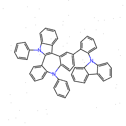 c1ccc(N2c3ccc(-c4ccccc4-n4c5ccccc5c5ccccc54)cc3-c3c(n(-c4ccccc4)c4ccccc34)-c3ccccc32)cc1